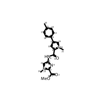 COC(=O)c1nc(NC(=O)c2cc(-c3ccc(C)cc3)cn2C)cn1C